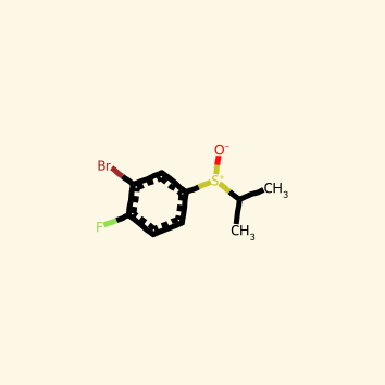 CC(C)[S+]([O-])c1ccc(F)c(Br)c1